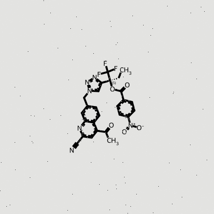 CC[C@](OC(=O)c1ccc([N+](=O)[O-])cc1)(c1cn(Cc2ccc3c(C(C)=O)cc(C#N)nc3c2)nn1)C(F)(F)F